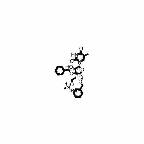 Cc1cn([C@@H]2O[C@H](COCc3ccccc3)[C@@](CCO[Si](C)(C)C(C)(C)C)(OCc3ccccc3)[C@H]2O)c(=O)[nH]c1=O